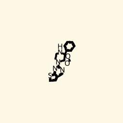 COC1(c2ccccc2)NCCN(c2ncc3ccsc3n2)C1=O